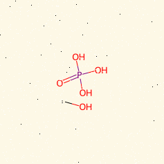 O=P(O)(O)O.[CH]O